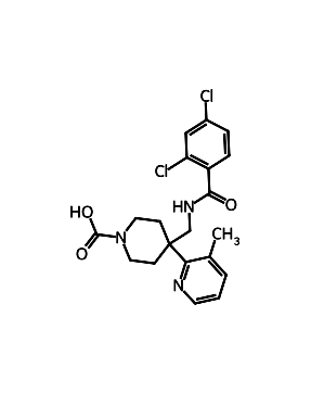 Cc1cccnc1C1(CNC(=O)c2ccc(Cl)cc2Cl)CCN(C(=O)O)CC1